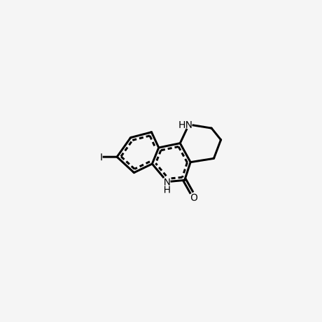 O=c1[nH]c2cc(I)ccc2c2c1CCCN2